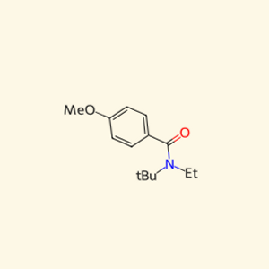 CCN(C(=O)c1ccc(OC)cc1)C(C)(C)C